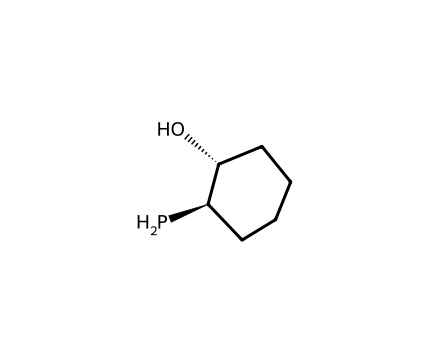 O[C@@H]1CCCC[C@H]1P